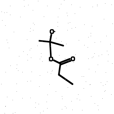 CCC(=O)OC(C)(C)[O]